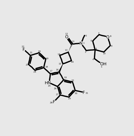 CN(CC1(CO)CCOCC1)C(=O)[C@H]1C[C@H](c2c(-c3ccc(F)cc3)[nH]c3c(F)cc(F)cc32)C1